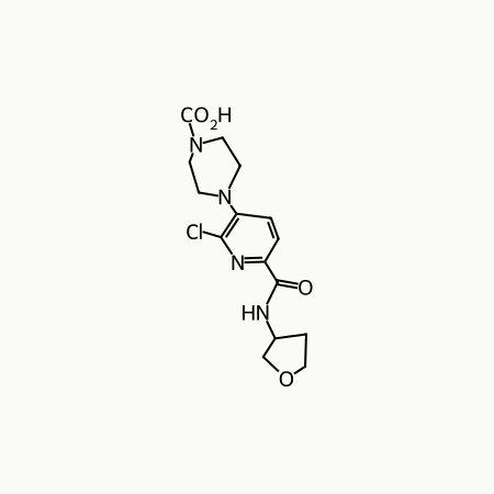 O=C(NC1CCOC1)c1ccc(N2CCN(C(=O)O)CC2)c(Cl)n1